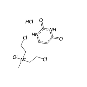 C[N+]([O-])(CCCl)CCCl.Cl.O=c1cc[nH]c(=O)[nH]1